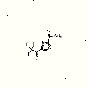 NC(=O)c1nc(C(=O)C(F)(F)F)cs1